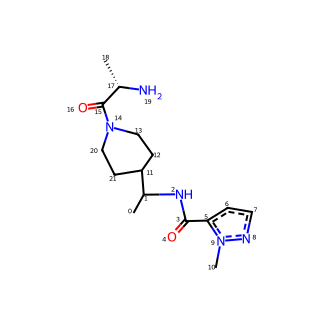 CC(NC(=O)c1ccnn1C)C1CCN(C(=O)[C@H](C)N)CC1